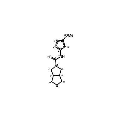 COc1nsc(NC(=O)N2CC3CCCC3C2)n1